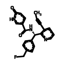 CC#Cc1cccnc1[C@@H](NC(=O)c1ccc(=O)[nH]c1)c1ccc(CF)cc1